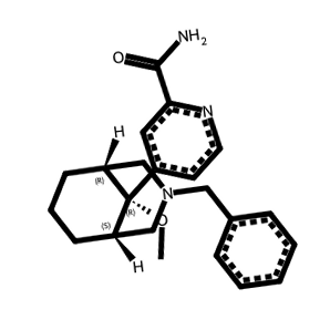 CO[C@@]1(c2ccnc(C(N)=O)c2)[C@@H]2CCC[C@H]1CN(Cc1ccccc1)C2